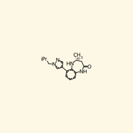 CC(C)Cn1cc(-c2cccc3c2N[C@H](C)CC(=O)N3)cn1